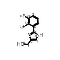 OCc1c[nH]c(-c2cccc(F)c2F)n1